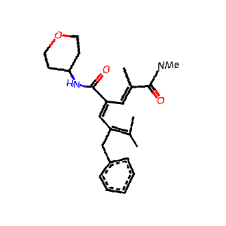 CNC(=O)/C(C)=C/C(=C\C(Cc1ccccc1)=C(C)C)C(=O)NC1CCOCC1